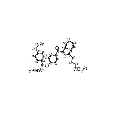 CCCCCC(Oc1ccc(C(=O)c2cc(CCCC(=O)OCC)n3ccccc23)cc1)c1ccc(CC(C)C)cc1